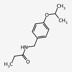 CCC(=O)NCc1ccc(OC(C)C)cc1